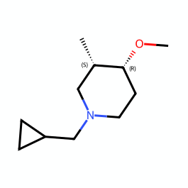 CO[C@@H]1CCN(CC2CC2)C[C@@H]1C